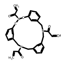 C=CC(=O)N1Cc2cccc(c2)CN(C(=O)C=C)Cc2cccc(c2)CN(C(=O)C=C)Cc2cccc(c2)C1